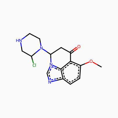 COc1ccc2ncn3c2c1C(=O)CC3N1CCNCC1Cl